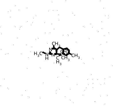 CCNc1nc(C)c(Cc2ccc(C)cc2)c(C(C)(C)C)n1